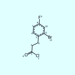 O=C(Cl)CCc1ccc(F)cc1Br